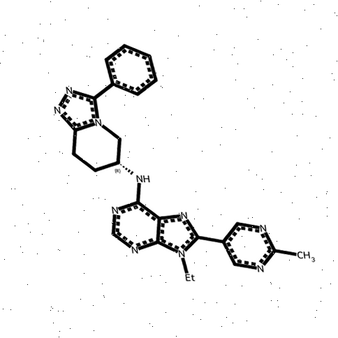 CCn1c(-c2cnc(C)nc2)nc2c(N[C@@H]3CCc4nnc(-c5ccccc5)n4C3)ncnc21